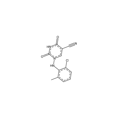 Cc1cccc(Cl)c1Nn1cc(C#N)c(=O)[nH]c1=O